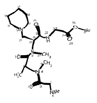 CNCC(=O)N(C)C(C)C(=O)N(C)[C@@H](CN1CCCCC1)C(=O)NCC(=O)OC(C)(C)C